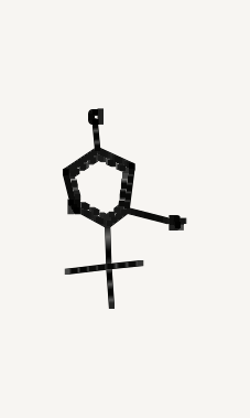 CC(C)(C)c1ncc(Cl)cc1Br